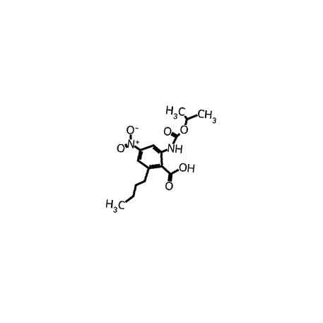 CCCCc1cc([N+](=O)[O-])cc(NC(=O)OC(C)C)c1C(=O)O